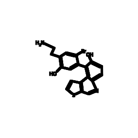 NCCc1cc(Br)c(-c2c(O)ccc3ncc4sccc4c23)cc1O